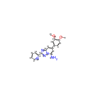 COc1ccc(-c2cc(N)n3nc(-c4ccccn4)nc3c2)cc1OC